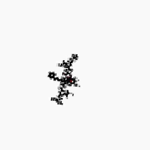 C[C@H](N)C(=O)N[C@@H](CCCNC(=N)N)C(=O)N[C@@H](C)C(=O)N(C(=O)[C@H](C)N1CC[C@@H](N)C1=O)C(=O)C(C(=O)CCCCc1ccccc1)(C(=O)[C@H](C)NC(=O)[C@H](CCCNC(=N)N)NC(=O)[C@H](C)N)c1ccc(N)cc1